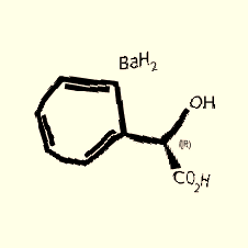 O=C(O)[C@H](O)c1ccccc1.[BaH2]